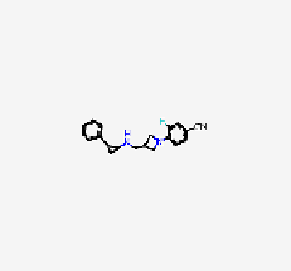 N#Cc1ccc(N2CC(CNC3CC3c3ccccc3)C2)c(F)c1